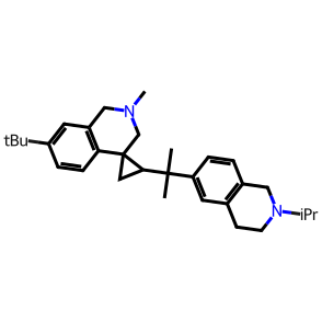 CC(C)N1CCc2cc(C(C)(C)C3CC34CN(C)Cc3cc(C(C)(C)C)ccc34)ccc2C1